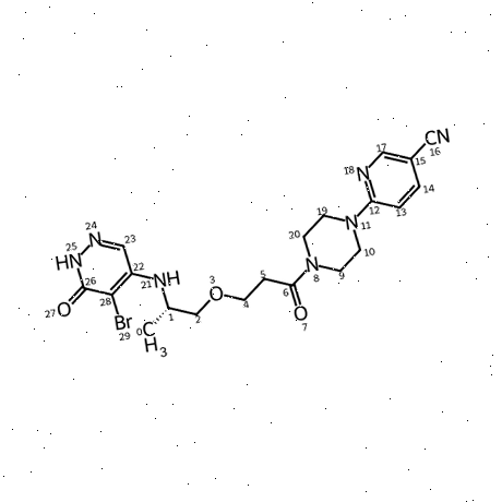 C[C@@H](COCCC(=O)N1CCN(c2ccc(C#N)cn2)CC1)Nc1cn[nH]c(=O)c1Br